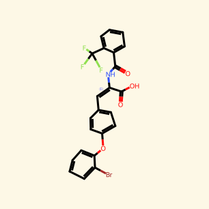 O=C(O)/C(=C\c1ccc(Oc2ccccc2Br)cc1)NC(=O)c1ccccc1C(F)(F)F